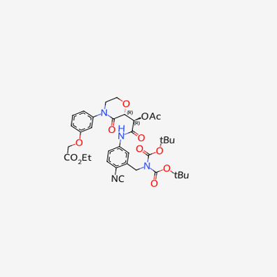 [C-]#[N+]c1ccc(NC(=O)[C@H](OC(C)=O)[C@H]2OCCN(c3cccc(OCC(=O)OCC)c3)C2=O)cc1CN(C(=O)OC(C)(C)C)C(=O)OC(C)(C)C